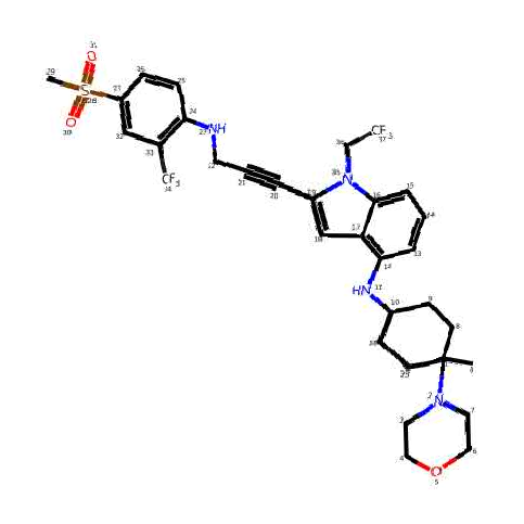 CC1(N2CCOCC2)CCC(Nc2cccc3c2cc(C#CCNc2ccc(S(C)(=O)=O)cc2C(F)(F)F)n3CC(F)(F)F)CC1